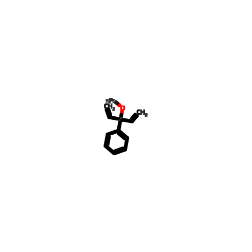 C=C[Si](C=C)(OCCC)c1ccccc1